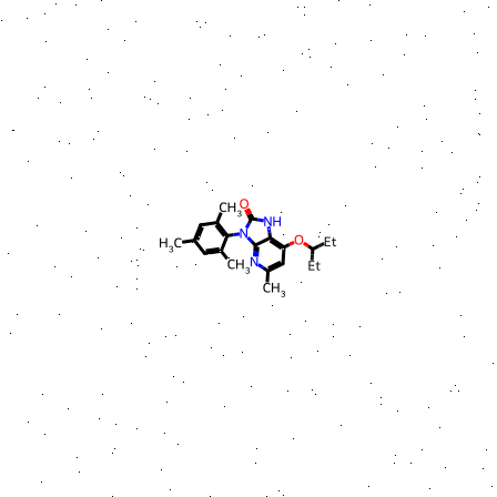 CCC(CC)Oc1cc(C)nc2c1[nH]c(=O)n2-c1c(C)cc(C)cc1C